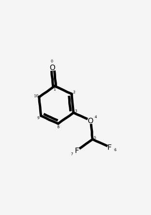 O=C1C=C(OC(F)F)C=CC1